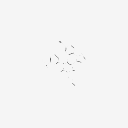 Cc1c(-c2ccnn2-c2ccc(C#N)cc2)c(=O)n(C(C)CC=O)c(=O)n1-c1cccc(C(F)(F)F)c1